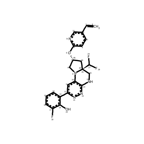 C=Cc1ccc(O[C@H]2CN3c4cc(-c5cccc(F)c5O)nnc4NC[C@@]3(C(F)F)C2)nc1